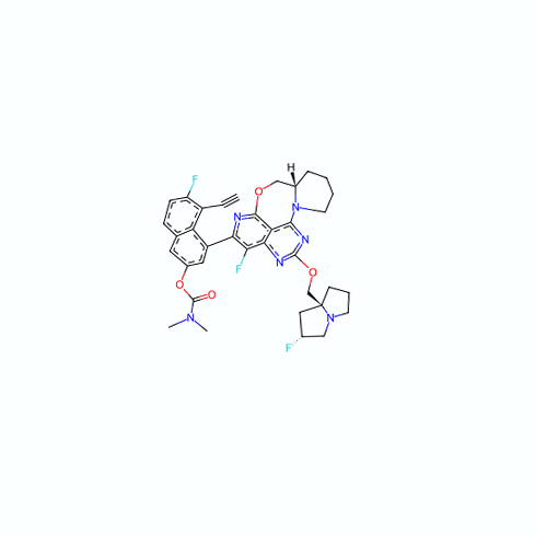 C#Cc1c(F)ccc2cc(OC(=O)N(C)C)cc(-c3nc4c5c(nc(OC[C@@]67CCCN6C[C@H](F)C7)nc5c3F)N3CCCC[C@H]3CO4)c12